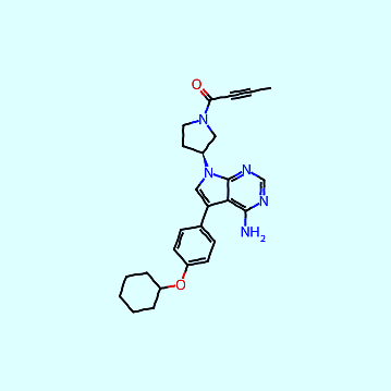 CC#CC(=O)N1CC[C@H](n2cc(-c3ccc(OC4CCCCC4)cc3)c3c(N)ncnc32)C1